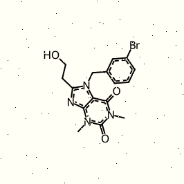 Cn1c(=O)c2c(nc(CCO)n2Cc2cccc(Br)c2)n(C)c1=O